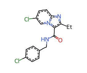 CCc1nc2ccc(Cl)cn2c1C(=O)NCc1ccc(Cl)cc1